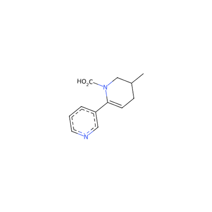 CC1CC=C(c2cccnc2)N(C(=O)O)C1